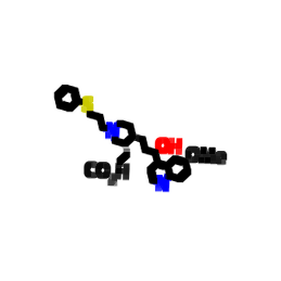 COc1ccc2nccc([C@H](O)CC[C@@H]3CCN(CCCSc4ccccc4)C[C@H]3CCC(=O)O)c2c1